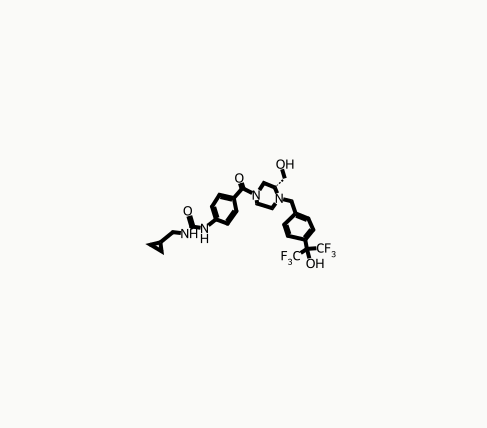 O=C(NCC1CC1)Nc1ccc(C(=O)N2CCN(Cc3ccc(C(O)(C(F)(F)F)C(F)(F)F)cc3)[C@@H](CO)C2)cc1